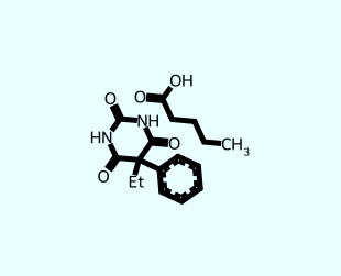 CCC1(c2ccccc2)C(=O)NC(=O)NC1=O.CCCCC(=O)O